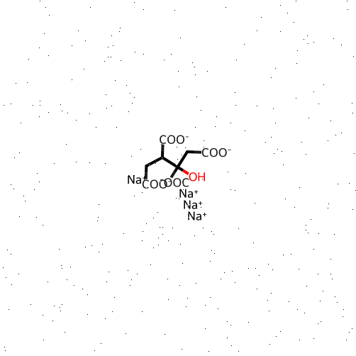 O=C([O-])CC(C(=O)[O-])C(O)(CC(=O)[O-])C(=O)[O-].[Na+].[Na+].[Na+].[Na+]